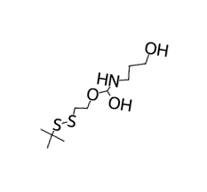 CC(C)(C)SSCCOC(O)NCCCO